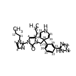 CCCc1cn(-c2nccn2CCC)c(=O)n1CC1(c2cccc(-c3nnn[nH]3)c2)C=CNC=C1